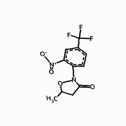 CC1CC(=O)N(c2ccc(C(F)(F)F)cc2[N+](=O)[O-])O1